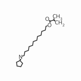 C=C(C)C(=O)OCCCCCCCCCCCCN=C1CCCC1